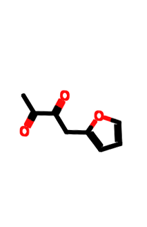 CC(=O)C(=O)Cc1ccco1